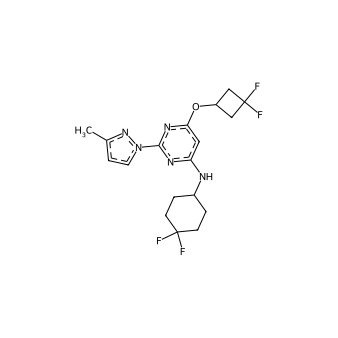 Cc1ccn(-c2nc(NC3CCC(F)(F)CC3)cc(OC3CC(F)(F)C3)n2)n1